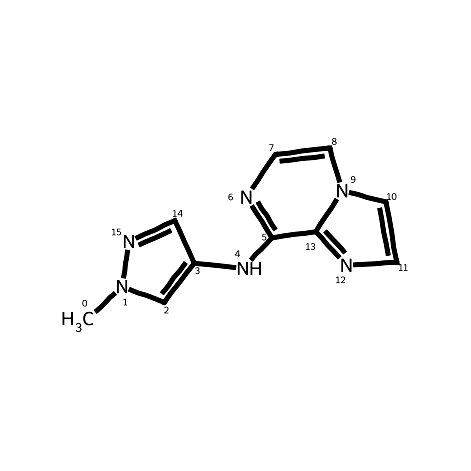 Cn1cc(Nc2nccn3ccnc23)cn1